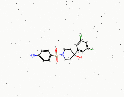 Nc1ccc(S(=O)(=O)N2CCC(O)(c3cc(Cl)cc(Cl)c3)CC2)cc1